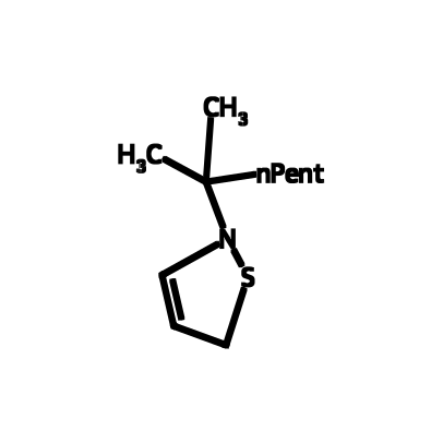 CCCCCC(C)(C)N1C=CCS1